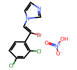 Clc1ccc(/C(Br)=C/n2ccnc2)c(Cl)c1.O=[N+]([O-])O